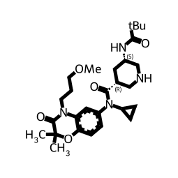 COCCCN1C(=O)C(C)(C)Oc2ccc(N(C(=O)[C@H]3CNC[C@@H](NC(=O)C(C)(C)C)C3)C3CC3)cc21